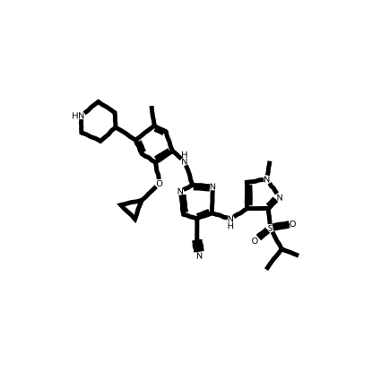 Cc1cc(Nc2ncc(C#N)c(Nc3cn(C)nc3S(=O)(=O)C(C)C)n2)c(OC2CC2)cc1C1CCNCC1